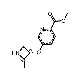 COC(=O)c1ccc(O[C@H]2CN[C@@H]2C)cn1